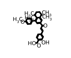 COc1ccc(-c2cc(C(=O)/C=C/c3ccc(C(=O)O)c(O)c3)cc3c2C(C)(C)CCC3(C)C)cc1